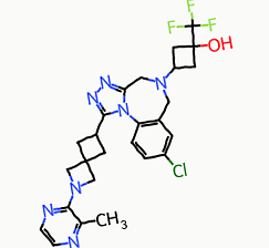 Cc1nccnc1N1CC2(CC(c3nnc4n3-c3ccc(Cl)cc3CN(C3CC(O)(C(F)(F)F)C3)C4)C2)C1